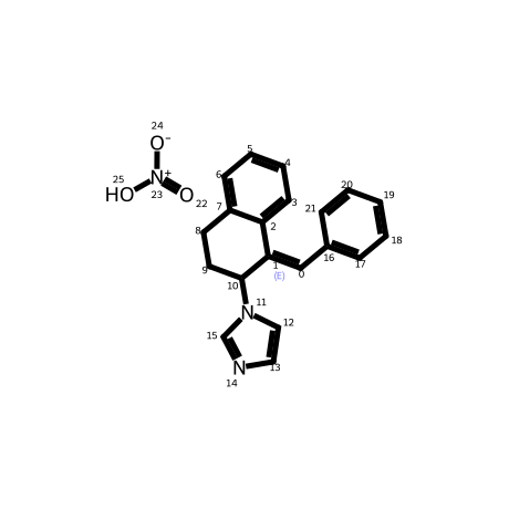 C(=C1/c2ccccc2CCC1n1ccnc1)/c1ccccc1.O=[N+]([O-])O